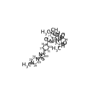 C[C@@H]1CN(C(=O)C(CC(C)(C)C)NC(=O)c2ccc(-c3csc(N4CCN(C)CC4)n3)cc2)[C@@H]2C(=O)CO[C@H]12